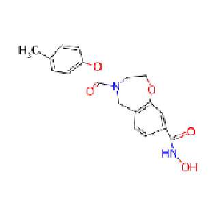 Cc1ccc(OC(=O)N2CCOc3cc(C(=O)NO)ccc3C2)cc1